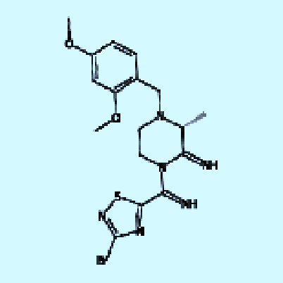 COc1ccc(CN2CCN(C(=N)c3nc(Br)ns3)C(=N)[C@H]2C)c(OC)c1